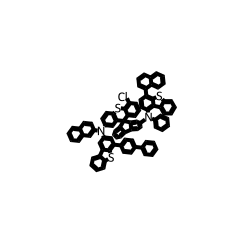 Clc1cccc2c1Sc1ccc(N(c3ccc4ccccc4c3)c3cc(-c4ccc(-c5ccccc5)cc4)c4sc5ccccc5c4c3)cc1C21c2ccccc2-c2ccc(N(c3ccccc3)c3ccc(-c4cccc5ccccc45)c4sc5ccccc5c34)cc21